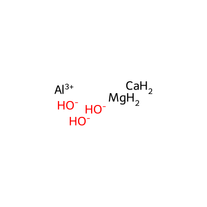 [Al+3].[CaH2].[MgH2].[OH-].[OH-].[OH-]